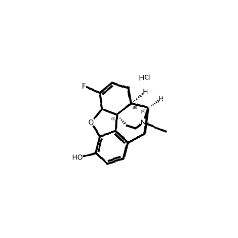 CN1CC[C@]23c4c5ccc(O)c4OC2C(F)=CC[C@H]3[C@H]1C5.Cl